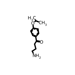 CC(C)Oc1ccc(C(=O)CCCN)cc1